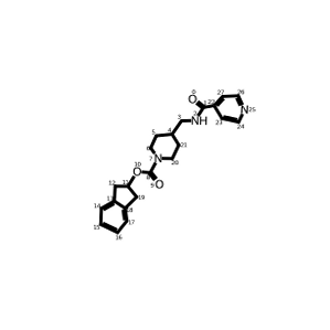 O=C(NCC1CCN(C(=O)OC2Cc3ccccc3C2)CC1)c1ccncc1